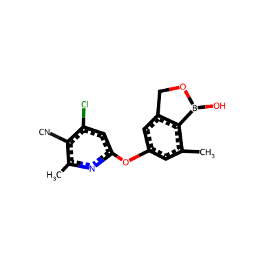 [C-]#[N+]c1c(Cl)cc(Oc2cc(C)c3c(c2)COB3O)nc1C